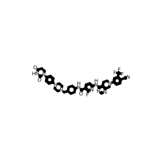 N#Cc1ccc(N2CCc3c(ncnc3Nc3ccc(C(=O)NC4CCC(CN5CCN(c6ccc(N7CCC(=O)NC7=O)cc6)CC5)CC4)c(F)n3)C2)cc1C(F)(F)F